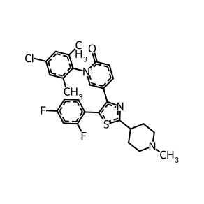 Cc1cc(Cl)cc(C)c1-n1cc(-c2nc(C3CCN(C)CC3)sc2-c2ccc(F)cc2F)ccc1=O